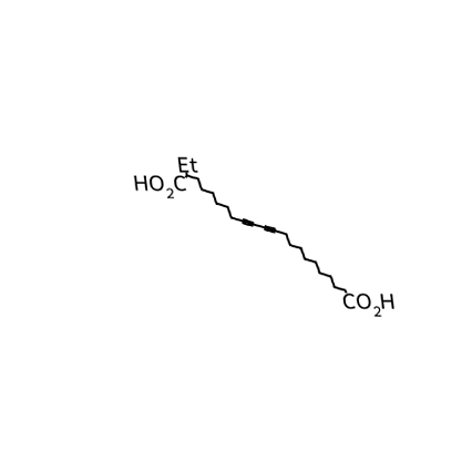 CCC(CCCCCCC#CC#CCCCCCCCCCC(=O)O)C(=O)O